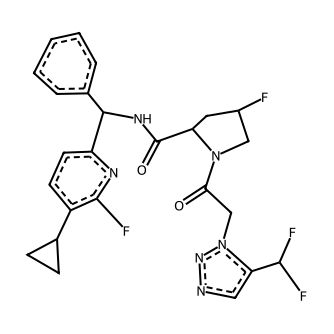 O=C(NC(c1ccccc1)c1ccc(C2CC2)c(F)n1)C1CC(F)CN1C(=O)Cn1nncc1C(F)F